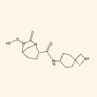 O=C(NC1CCC2(CC1)CNC2)C1CCC2CN1C(=O)N2OS